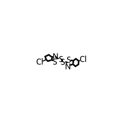 Clc1ccc2nc(SSc3nc4ccc(Cl)cc4s3)sc2c1